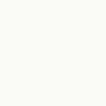 C\C=C/C=C\C=C\c1c2ccccc2c(-c2ccccc2)c2ccc(C3=CC(=N)C(=N)C=C3)cc12